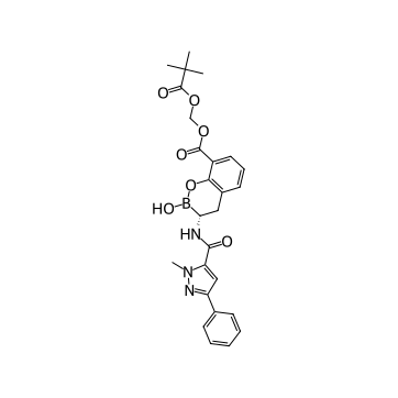 Cn1nc(-c2ccccc2)cc1C(=O)N[C@H]1Cc2cccc(C(=O)OCOC(=O)C(C)(C)C)c2OB1O